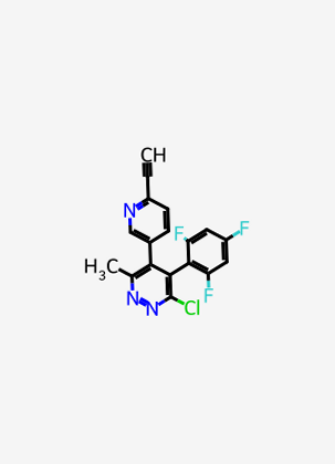 C#Cc1ccc(-c2c(C)nnc(Cl)c2-c2c(F)cc(F)cc2F)cn1